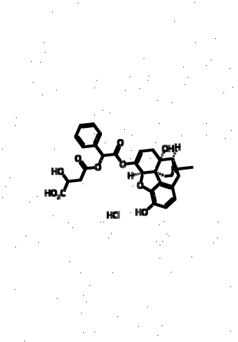 CN1CC[C@]23c4c5ccc(O)c4O[C@H]2C(OC(=O)C(OC(=O)CC(O)C(=O)O)c2ccccc2)=CC[C@@]3(O)[C@H]1C5.Cl